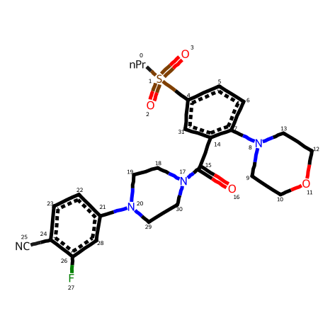 CCCS(=O)(=O)c1ccc(N2CCOCC2)c(C(=O)N2CCN(c3ccc(C#N)c(F)c3)CC2)c1